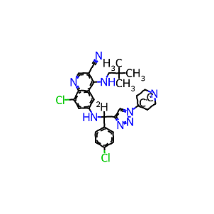 [2H]C(Nc1cc(Cl)c2ncc(C#N)c(NCC(C)(C)C)c2c1)(c1ccc(Cl)cc1)c1cn(C23CCN(CC2)CC3)nn1